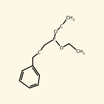 CCOP(CCCc1ccccc1)OCC